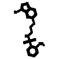 O=[N+]([O-])c1ccccc1S(=O)(=O)NCCSc1ccn2ncc(Br)c2n1